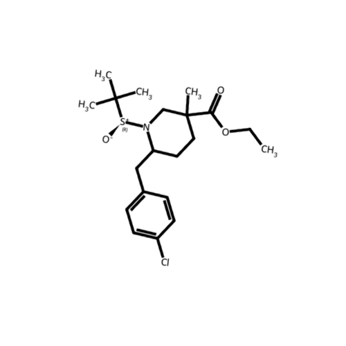 CCOC(=O)C1(C)CCC(Cc2ccc(Cl)cc2)N([S@@+]([O-])C(C)(C)C)C1